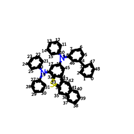 c1ccc(-c2cccc(N(c3ccccc3)c3cc(N(c4ccccc4)c4ccccc4)c4sc5cc6ccccc6cc5c4c3)c2)cc1